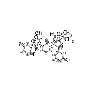 COCN(c1cccc(-c2nc(C(C)(C)C)sc2-c2ccnc(Cl)c2)c1F)S(=O)(=O)c1cc(F)ccc1F